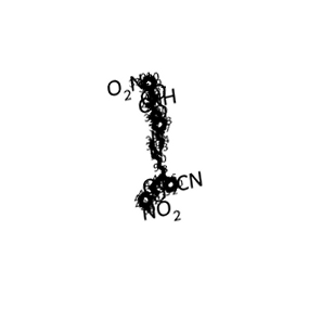 N#Cc1ccc2c(c1)c(CCCCN1CCN(c3ccc4oc(C(=O)NS(=O)(=O)c5cccc([N+](=O)[O-])c5)cc4c3)CC1)cn2S(=O)(=O)c1cccc([N+](=O)[O-])c1